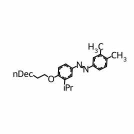 CCCCCCCCCCCCOc1ccc(/N=N/c2ccc(C)c(C)c2)cc1C(C)C